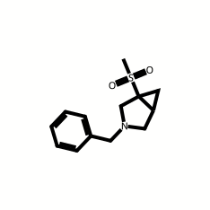 CS(=O)(=O)C12CC1CN(Cc1ccccc1)C2